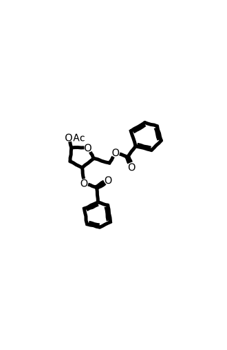 CC(=O)OC1CC(OC(=O)c2ccccc2)C(COC(=O)c2ccccc2)O1